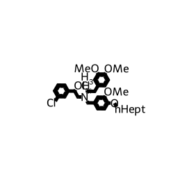 CCCCCCCOc1ccc(CN(CC(O)c2cccc(Cl)c2)[C@H](C)Cc2ccc(OC)c(OC)c2)cc1OC